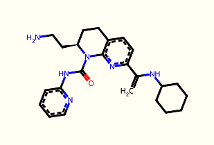 C=C(NC1CCCCC1)c1ccc2c(n1)N(C(=O)Nc1ccccn1)[C@@H](CCN)CC2